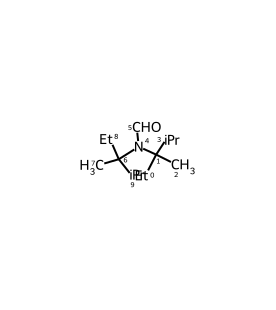 CCC(C)(C(C)C)N(C=O)C(C)(CC)C(C)C